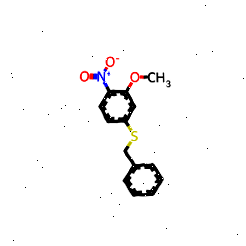 COc1cc(SCc2ccccc2)ccc1[N+](=O)[O-]